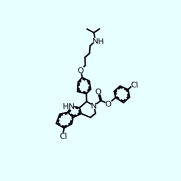 CC(C)NCCCCOc1ccc(C2c3[nH]c4ccc(Cl)cc4c3CCN2C(=O)Oc2ccc(Cl)cc2)cc1